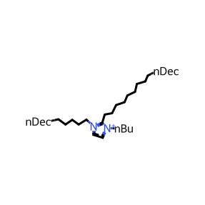 CCCCCCCCCCCCCCCCCCCc1n(CCCCCCCCCCCCCCC)cc[n+]1CCCC